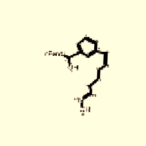 CCCCCC(O)c1cccc(/C=C\CCCC=NO)c1